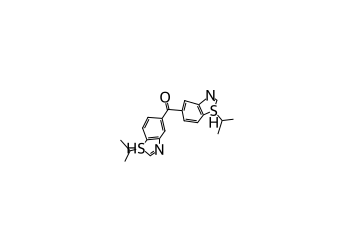 CC(C)[SH]1C=Nc2cc(C(=O)c3ccc4c(c3)N=C[SH]4C(C)C)ccc21